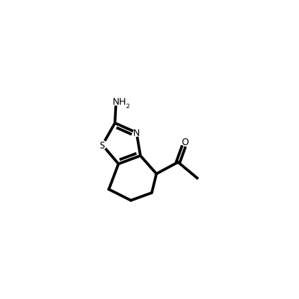 CC(=O)C1CCCc2sc(N)nc21